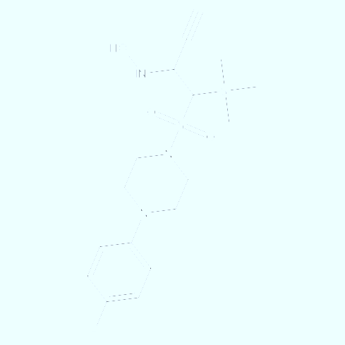 C#CC(NO)C([Si](C)(C)C)S(=O)(=O)N1CCN(c2ccc(F)cc2)CC1